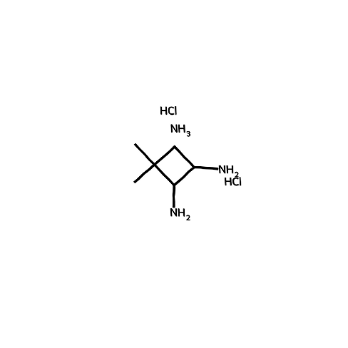 CC1(C)CC(N)C1N.Cl.Cl.N